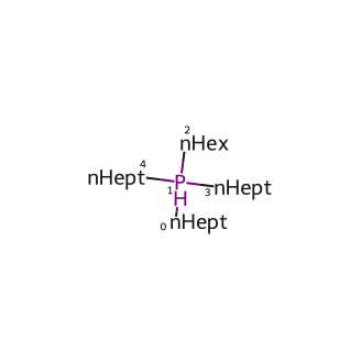 CCCCCCC[PH](CCCCCC)(CCCCCCC)CCCCCCC